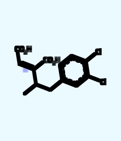 CC(Cc1ccc(Cl)c(Cl)c1)/C(=C/C(=O)O)C(=O)O